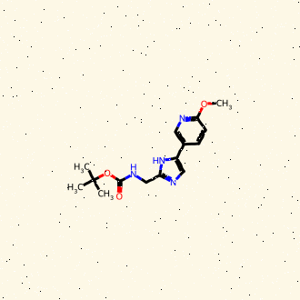 COc1ccc(-c2cnc(CNC(=O)OC(C)(C)C)[nH]2)cn1